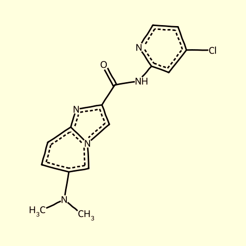 CN(C)c1ccc2nc(C(=O)Nc3cc(Cl)ccn3)cn2c1